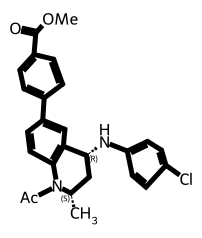 COC(=O)c1ccc(-c2ccc3c(c2)[C@H](Nc2ccc(Cl)cc2)C[C@H](C)N3C(C)=O)cc1